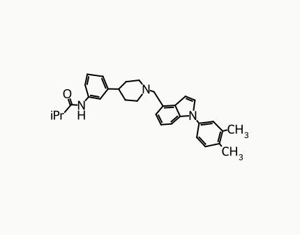 Cc1ccc(-n2ccc3c(CN4CCC(c5cccc(NC(=O)C(C)C)c5)CC4)cccc32)cc1C